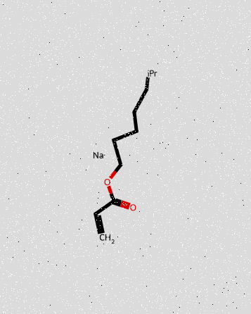 C=CC(=O)OCCCCCC(C)C.[Na]